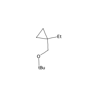 CCC1(COC(C)(C)C)CC1